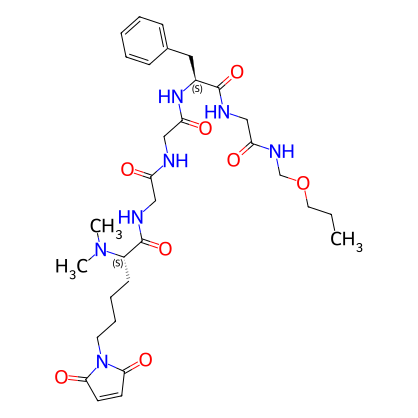 CCCOCNC(=O)CNC(=O)[C@H](Cc1ccccc1)NC(=O)CNC(=O)CNC(=O)[C@H](CCCCN1C(=O)C=CC1=O)N(C)C